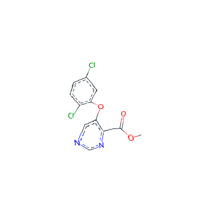 COC(=O)c1ncncc1Oc1cc(Cl)ccc1Cl